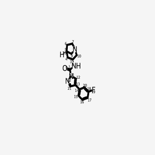 O=C(N[C@@H]1C[C@H]2CCN(C2)C1)n1cc(-c2cccc(F)c2)cn1